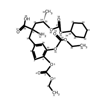 CCOC(=O)Oc1ccc(CC(N)(C[C@H](C)OC(=O)OC2CCCCC2)C(=O)O)cc1OC(=O)OCC